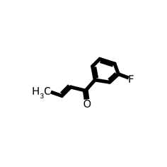 C/C=C/C(=O)c1cccc(F)c1